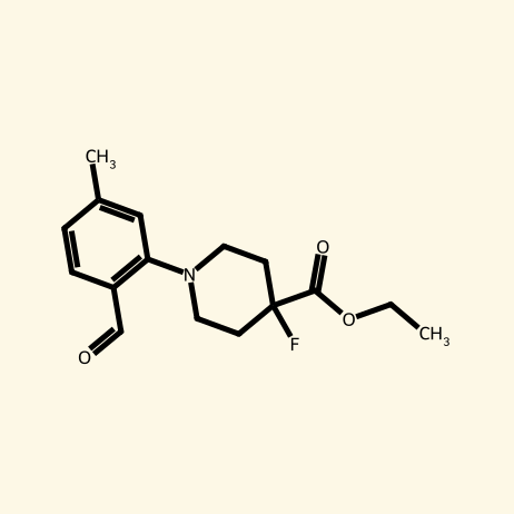 CCOC(=O)C1(F)CCN(c2cc(C)ccc2C=O)CC1